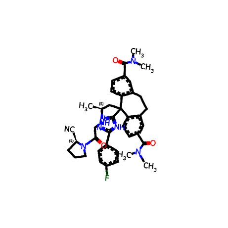 C[C@@H](CC1(c2nnc(-c3ccc(F)cc3)[nH]2)c2ccc(C(=O)N(C)C)cc2CCc2cc(C(=O)N(C)C)ccc21)NCC(=O)N1CCC[C@H]1C#N